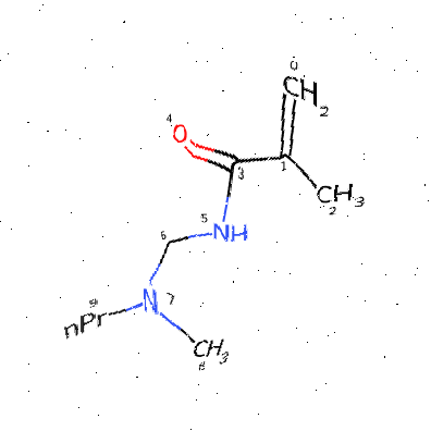 C=C(C)C(=O)NCN(C)CCC